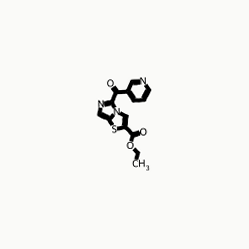 CCOC(=O)c1cn2c(C(=O)c3cccnc3)ncc2s1